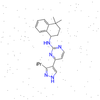 CC(C)c1n[nH]cc1-c1ccnc(NC2CCC(C)(C)c3ccccc32)n1